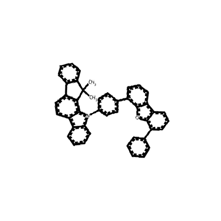 CC1(C)c2ccccc2-c2ccc3c4ccccc4n(-c4ccc(-c5cccc6c5oc5c(-c7ccccc7)cccc56)cc4)c3c21